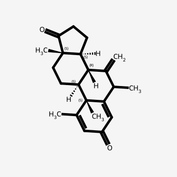 C=C1C(C)C2=CC(=O)C=C(C)[C@]2(C)[C@H]2CC[C@]3(C)C(=O)CC[C@H]3[C@H]12